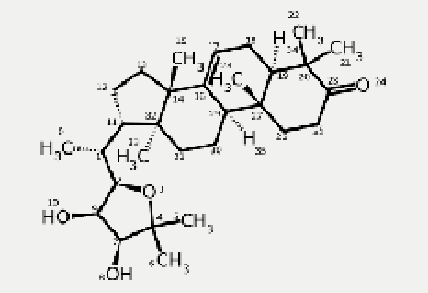 C[C@@H]([C@H]1OC(C)(C)[C@@H](O)[C@H]1O)[C@@H]1CC[C@]2(C)C3=CC[C@H]4C(C)(C)C(=O)CC[C@]4(C)[C@H]3CC[C@@]12C